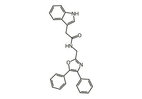 O=C(Cc1c[nH]c2ccccc12)NCc1nc(-c2ccccc2)c(-c2ccccc2)o1